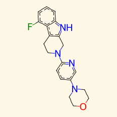 Fc1cccc2[nH]c3c(c12)CCN(c1ccc(N2CCOCC2)cn1)C3